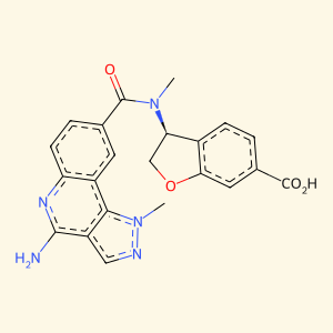 CN(C(=O)c1ccc2nc(N)c3cnn(C)c3c2c1)[C@@H]1COc2cc(C(=O)O)ccc21